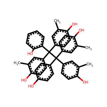 Cc1cc(C(c2ccc(O)cc2)(c2ccc(O)c(C)c2)C(c2ccc(O)c(C)c2)(c2ccc(O)c(C)c2)c2ccccc2O)ccc1O